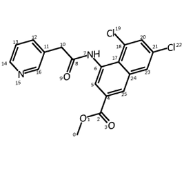 COC(=O)c1cc(NC(=O)Cc2cccnc2)c2c(Cl)cc(Cl)cc2c1